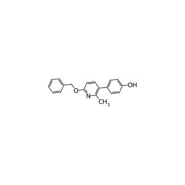 Cc1nc(OCc2ccccc2)ccc1-c1ccc(O)cc1